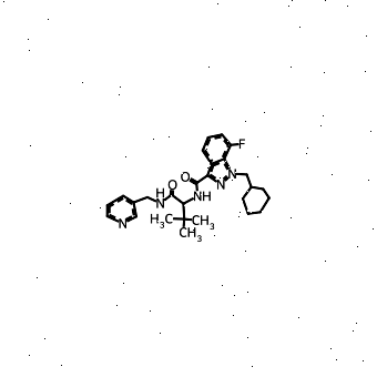 CC(C)(C)C(NC(=O)c1nn(CC2CCCCC2)c2c(F)cccc12)C(=O)NCc1cccnc1